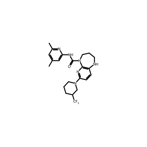 Cc1cc(C)nc(NC(=O)N2CCCNc3ccc(N4CCCC(C(F)(F)F)C4)nc32)c1